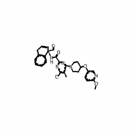 COc1ccc(OC2CCN(c3nc(C(=O)N[C@]4(C=O)C=CCc5ccccc54)nc(Cl)c3C)CC2)cn1